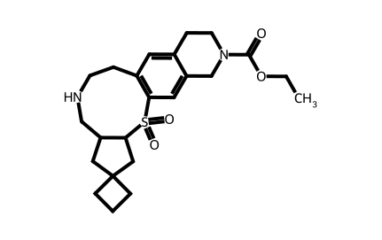 CCOC(=O)N1CCc2cc3c(cc2C1)S(=O)(=O)C1CC2(CCC2)CC1CNCC3